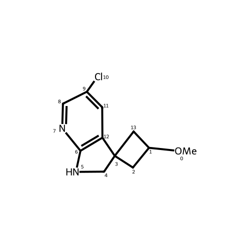 COC1CC2(CNc3ncc(Cl)cc32)C1